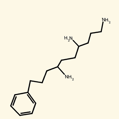 NCCCC(N)CCC(N)CCCc1ccccc1